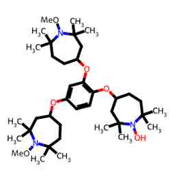 CON1C(C)(C)CCC(Oc2ccc(OC3CCC(C)(C)N(O)C(C)(C)C3)c(OC3CCC(C)(C)N(OC)C(C)(C)C3)c2)CC1(C)C